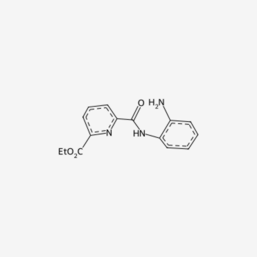 CCOC(=O)c1cccc(C(=O)Nc2ccccc2N)n1